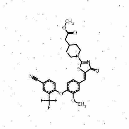 COC(=O)CC1CCN(C2=NC(=O)C(=Cc3ccc(Oc4ccc(C#N)cc4C(F)(F)F)c(OC)c3)S2)CC1